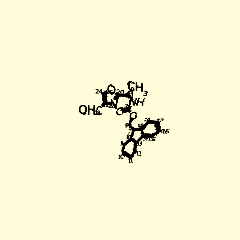 C[C@H](NC(=O)OCC1c2ccccc2-c2ccccc21)c1nc(C=O)co1